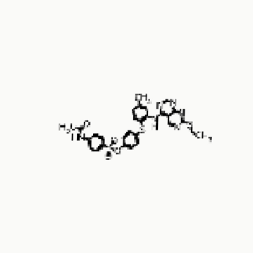 CCSc1ncc2c(Nc3cc(C)ccc3Sc3ccc(OS(=O)(=O)c4ccc(NC(C)=O)cc4)cc3)ncnc2n1